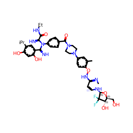 CCNC(=O)C(=N)N(C(=N)c1cc(C(C)C)c(O)cc1O)c1ccc(C(=O)N2CCN(c3ccc(ONC(/C=C\N[C@H]4O[C@@H](CO)[C@H](O)C4(F)F)=NC)c(C)c3)CC2)cc1